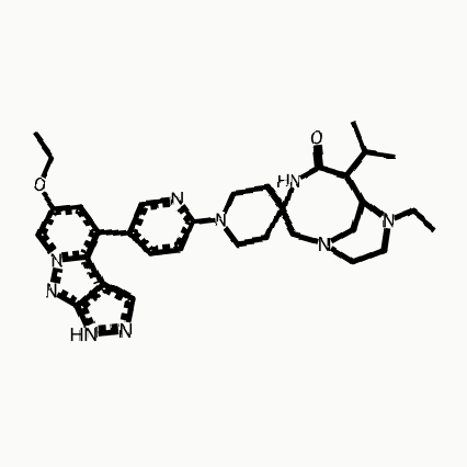 CCOc1cc(-c2ccc(N3CCC4(CC3)CN3CCN(CC)C(C3)C(C(C)C)C(=O)N4)nc2)c2c3cn[nH]c3nn2c1